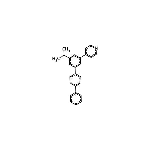 CC(C)c1cc(-c2ccncc2)cc(-c2ccc(-c3ccccc3)cc2)c1